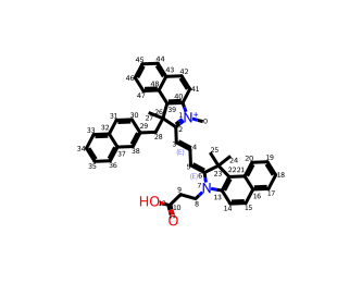 C[N+]1=C(/C=C/C=C2/N(CCC(=O)O)c3ccc4ccccc4c3C2(C)C)C(C)(Cc2ccc3ccccc3c2)c2c1ccc1ccccc21